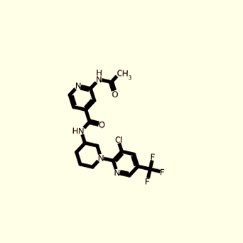 CC(=O)Nc1cc(C(=O)NC2CCCN(c3ncc(C(F)(F)F)cc3Cl)C2)ccn1